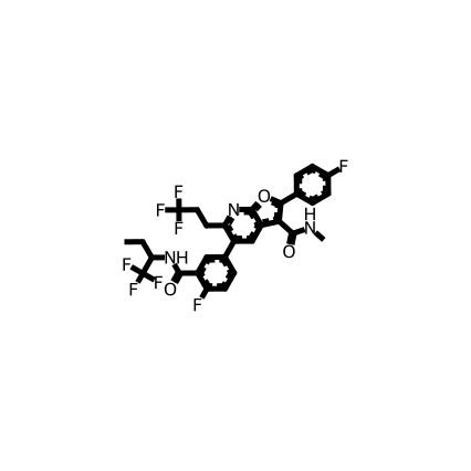 CCC(NC(=O)c1cc(-c2cc3c(C(=O)NC)c(-c4ccc(F)cc4)oc3nc2CCC(F)(F)F)ccc1F)C(F)(F)F